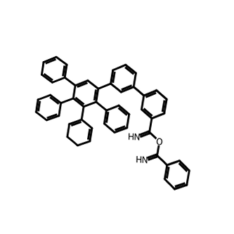 N=C(OC(=N)c1cccc(-c2cccc(-c3cc(-c4ccccc4)c(-c4ccccc4)c(C4=CCCC=C4)c3-c3ccccc3)c2)c1)c1ccccc1